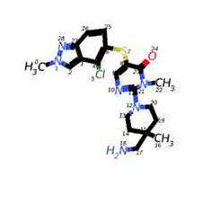 Cn1cc2c(Cl)c(Sc3cnc(N4CCC(C)(CN)CC4)n(C)c3=O)ccc2n1